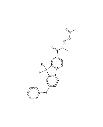 C=C(C)O/N=C(\C)C(=O)c1ccc2c(c1)C(CC)(CC)c1cc(Sc3ccccc3)ccc1-2